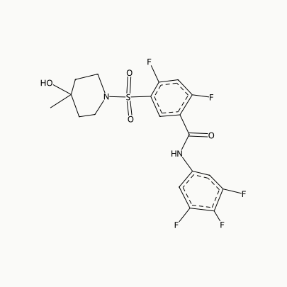 CC1(O)CCN(S(=O)(=O)c2cc(C(=O)Nc3cc(F)c(F)c(F)c3)c(F)cc2F)CC1